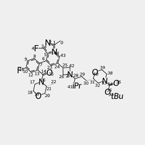 Cc1nc(F)c2c(-c3ccc(F)cc3C(=O)N3CCOC[C@H]3C)cc(C3CN(C(CC[C@H]4CN(C(=O)OC(C)(C)C)CCO4)C(C)C)C3)cn12